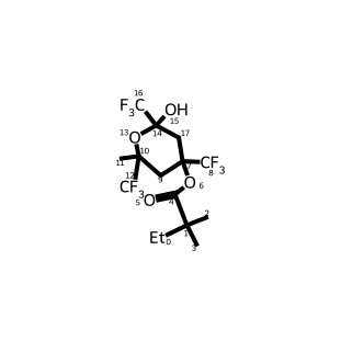 CCC(C)(C)C(=O)OC1(C(F)(F)F)CC(C)(C(F)(F)F)OC(O)(C(F)(F)F)C1